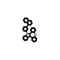 c1cc(-c2cccc3ccccc23)cc(N2c3ccccc3C3c4ccccc4Oc4ccccc4C32)c1